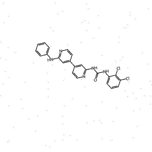 O=C(Nc1cc(-c2ccnc(Nc3ccccc3)c2)ccn1)Nc1cccc(Cl)c1Cl